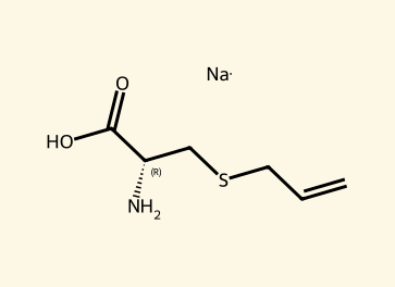 C=CCSC[C@H](N)C(=O)O.[Na]